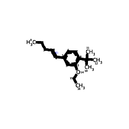 CCC/C=C/c1ccc(C(C)(C)C)c(OCC)c1